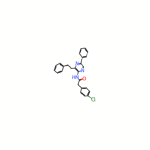 O=C(Cc1ccc(Cl)cc1)Nc1ncc(-c2ccccc2)nc1CCc1ccccc1